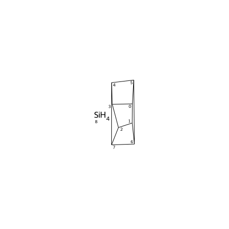 C12C3C4C1C1C2C3C41.[SiH4]